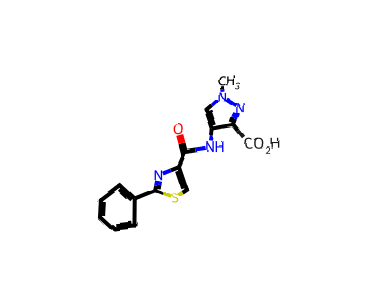 Cn1cc(NC(=O)c2csc(-c3ccccc3)n2)c(C(=O)O)n1